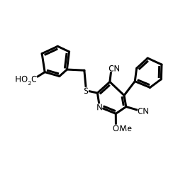 COc1nc(SCc2cccc(C(=O)O)c2)c(C#N)c(-c2ccccc2)c1C#N